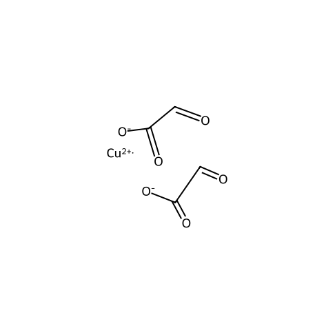 O=CC(=O)[O-].O=CC(=O)[O-].[Cu+2]